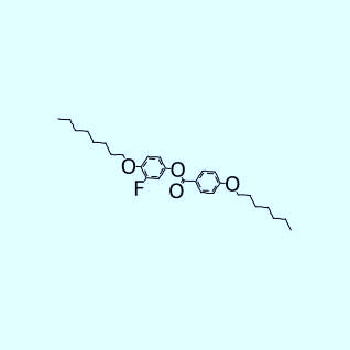 CCCCCCCCOc1ccc(OC(=O)c2ccc(OCCCCCCC)cc2)cc1F